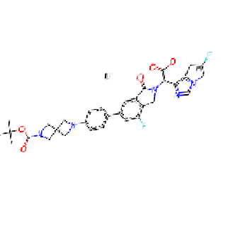 CC(C)(C)OC(=O)N1CC2(C1)CN(c1ccc(-c3cc(F)c4c(c3)C(=O)N(C(C(=O)[O-])c3ncn5c3C[C@@H](F)C5)C4)cc1)C2.[Li+]